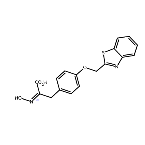 O=C(O)/C(Cc1ccc(OCc2nc3ccccc3s2)cc1)=N\O